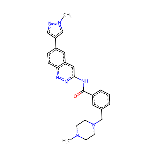 CN1CCN(Cc2cccc(C(=O)Nc3cc4cc(-c5cnn(C)c5)ccc4nn3)c2)CC1